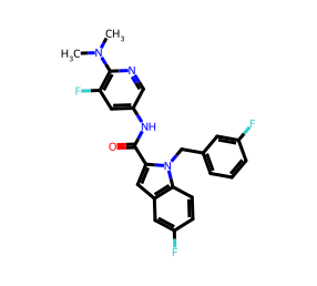 CN(C)c1ncc(NC(=O)c2cc3cc(F)ccc3n2Cc2cccc(F)c2)cc1F